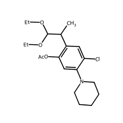 CCOC(OCC)C(C)c1cc(Cl)c(N2CCCCC2)cc1OC(C)=O